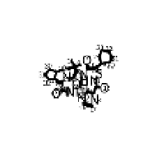 CC(C)(C)[C@H](NC(=O)[C@@H](SNC(=O)c1cnccn1)C1CCCCC1)C(=O)N1CC2CCCC2[C@H]1C(N)=O